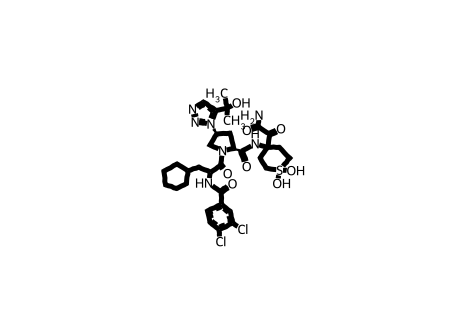 CC(C)(O)c1cnnn1[C@H]1C[C@@H](C(=O)NC2(C(=O)C(N)=O)CCS(O)(O)CC2)N(C(=O)C(CC2CCCCC2)NC(=O)c2ccc(Cl)c(Cl)c2)C1